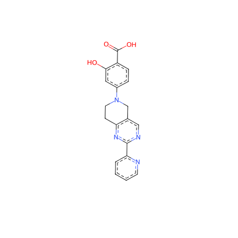 O=C(O)c1ccc(N2CCc3nc(-c4ccccn4)ncc3C2)cc1O